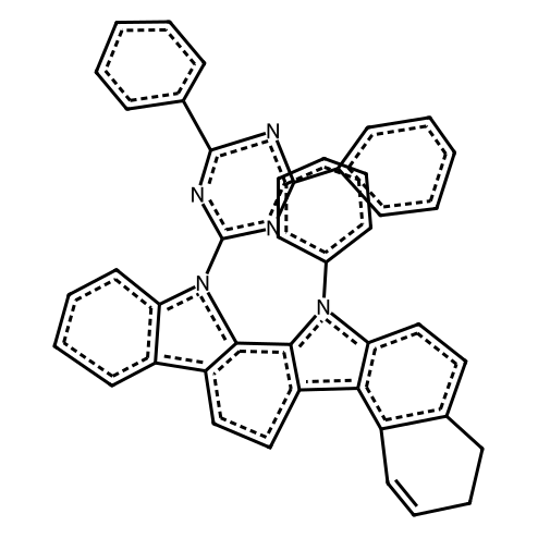 C1=Cc2c(ccc3c2c2ccc4c5ccccc5n(-c5nc(-c6ccccc6)nc(-c6ccccc6)n5)c4c2n3-c2ccccc2)CC1